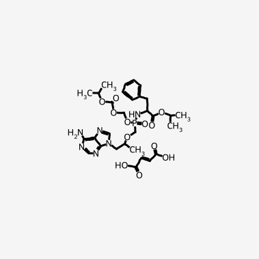 CC(C)OC(=O)OCOP(=O)(COC(C)Cn1cnc2c(N)ncnc21)NC(Cc1ccccc1)C(=O)OC(C)C.O=C(O)/C=C/C(=O)O